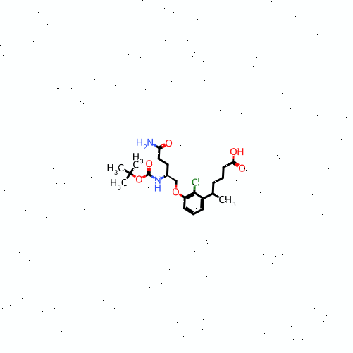 CC(CCCC(=O)O)c1cccc(OC[C@H](CCC(N)=O)NC(=O)OC(C)(C)C)c1Cl